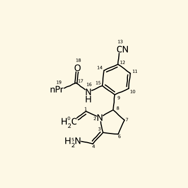 C=CN1/C(=C\N)CCC1c1ccc(C#N)cc1NC(=O)CCC